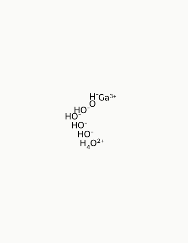 [Ga+3].[OH-].[OH-].[OH-].[OH-].[OH-].[OH4+2]